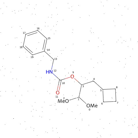 COC(OC)C(CC1CCC1)OC(=O)NCc1ccccc1